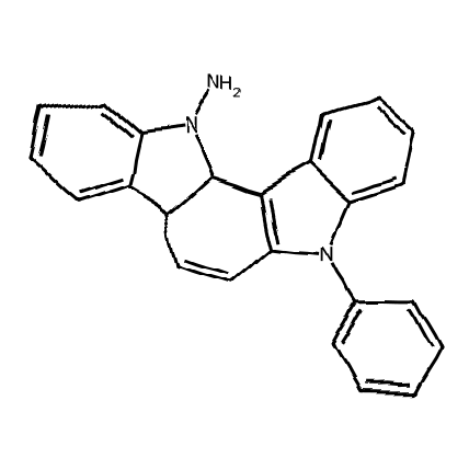 NN1c2ccccc2C2C=Cc3c(c4ccccc4n3-c3ccccc3)C21